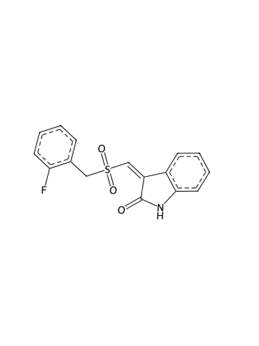 O=C1Nc2ccccc2C1=CS(=O)(=O)Cc1ccccc1F